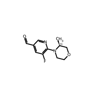 C[C@H]1COCCN1c1ncc(C=O)cc1F